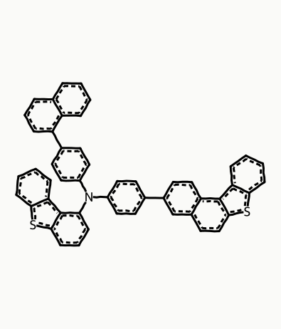 c1ccc2c(-c3ccc(N(c4ccc(-c5ccc6c(ccc7sc8ccccc8c76)c5)cc4)c4cccc5sc6ccccc6c45)cc3)cccc2c1